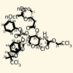 CCCCCCCCCCC[C@H](CC(=O)O[C@@H]1[C@H](NC(=O)OCC(Cl)(Cl)Cl)[C@@H](Cl)O[C@H](COC(=O)OC(C)(C)C(Cl)(Cl)Cl)[C@H]1OP(=O)(Oc1ccccc1)Oc1ccccc1)OC(=O)CCCCCCCC